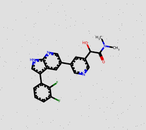 CN(C)C(=O)C(O)c1cncc(-c2cnc3[nH]cc(-c4cccc(F)c4F)c3c2)c1